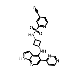 N#Cc1ccnc(S(=O)(=O)N[C@H]2C[C@@H](Nc3c(-c4ccncn4)cnc4[nH]ccc34)C2)c1